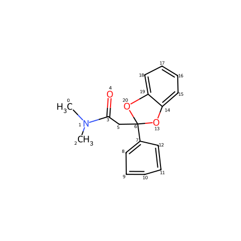 CN(C)C(=O)CC1(c2ccccc2)Oc2ccccc2O1